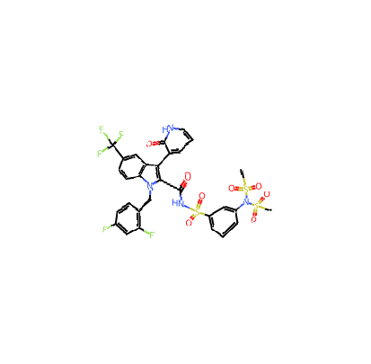 CS(=O)(=O)N(c1cccc(S(=O)(=O)NC(=O)c2c(-c3ccc[nH]c3=O)c3cc(C(F)(F)F)ccc3n2Cc2ccc(F)cc2F)c1)S(C)(=O)=O